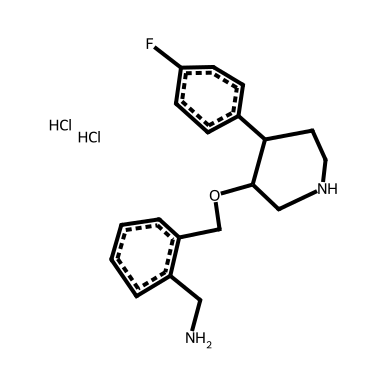 Cl.Cl.NCc1ccccc1COC1CNCCC1c1ccc(F)cc1